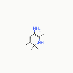 CC1=CC(N)=C(C)NC1(C)C